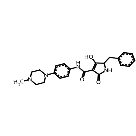 CN1CCN(c2ccc(NC(=O)C3=C(O)C(Cc4ccccc4)NC3=O)cc2)CC1